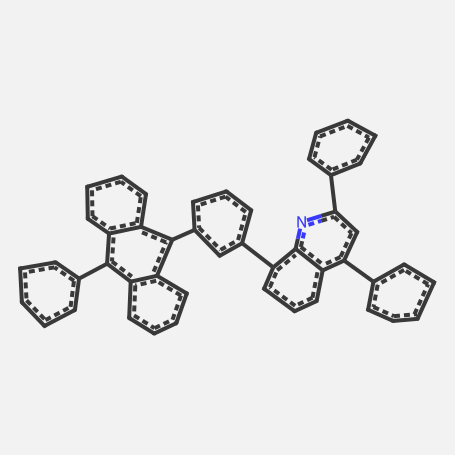 c1ccc(-c2cc(-c3ccccc3)c3cccc(-c4cccc(-c5c6ccccc6c(-c6ccccc6)c6ccccc56)c4)c3n2)cc1